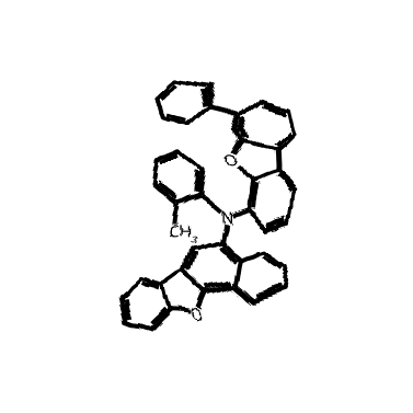 Cc1ccccc1N(c1cc2c3ccccc3oc2c2ccccc12)c1cccc2c1oc1c(-c3ccccc3)cccc12